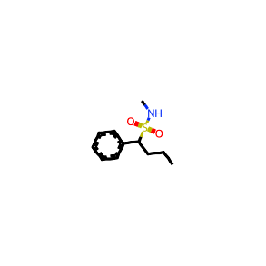 CCCC(c1ccccc1)S(=O)(=O)NC